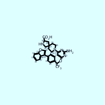 Nc1nc(O[C@H](c2ccc(-c3coc4ccccc34)cc2)C(F)(F)F)cc(N2CCC3(CC2)CNC(C(=O)O)C3)n1